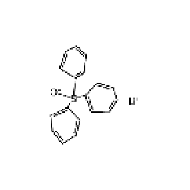 [Li+].[O-][Si](c1ccccc1)(c1ccccc1)c1ccccc1